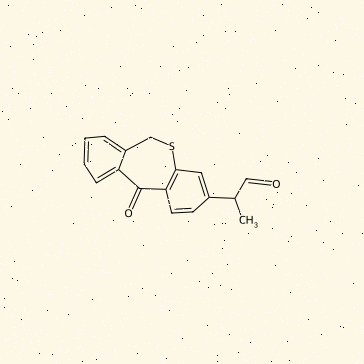 CC(C=O)c1ccc2c(c1)SCc1ccccc1C2=O